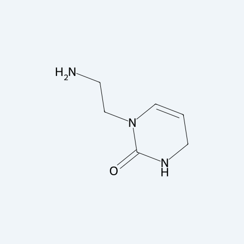 NCCN1C=CCNC1=O